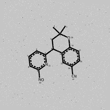 CC1(C)CC(c2cccc(N=O)n2)c2cc(C#N)ccc2O1